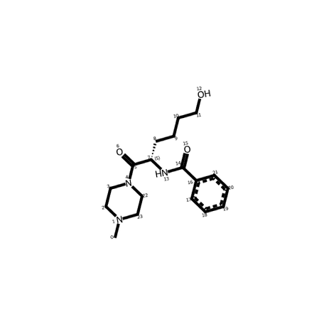 CN1CCN(C(=O)[C@H](CCCCO)NC(=O)c2ccccc2)CC1